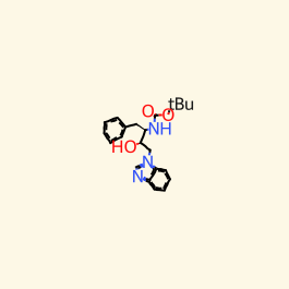 CC(C)(C)OC(=O)N[C@H](Cc1ccccc1)[C@H](O)Cn1cnc2ccccc21